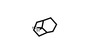 CCC1(O)C2CCCC1CCC2